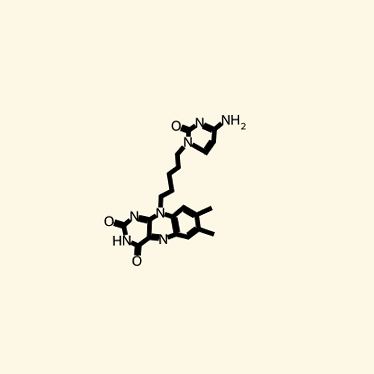 Cc1cc2nc3c(=O)[nH]c(=O)nc-3n(CCCCCn3ccc(N)nc3=O)c2cc1C